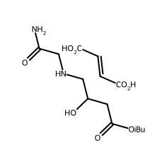 CC(C)COC(=O)CC(O)CNCC(N)=O.O=C(O)C=CC(=O)O